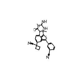 CN1C(=N)N[C@](C)(c2ccc(-c3cccc(C#N)c3)s2)C(c2ccc(C3(C#N)CCC3)cc2)C1=O